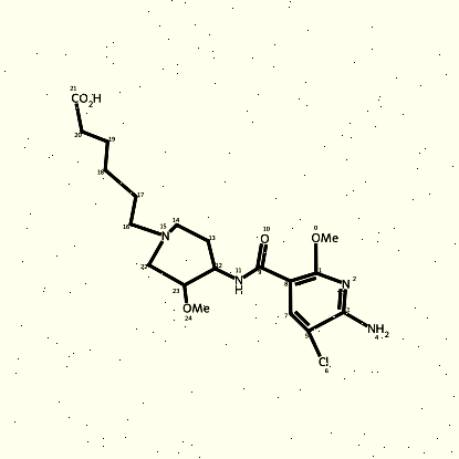 COc1nc(N)c(Cl)cc1C(=O)NC1CCN(CCCCCC(=O)O)CC1OC